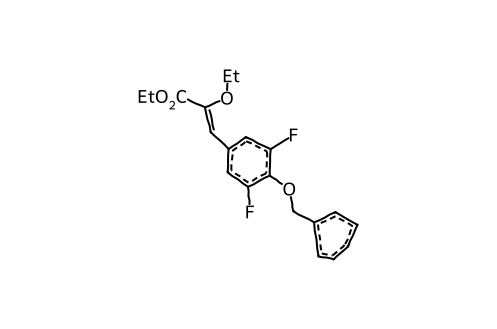 CCOC(=O)C(=Cc1cc(F)c(OCc2ccccc2)c(F)c1)OCC